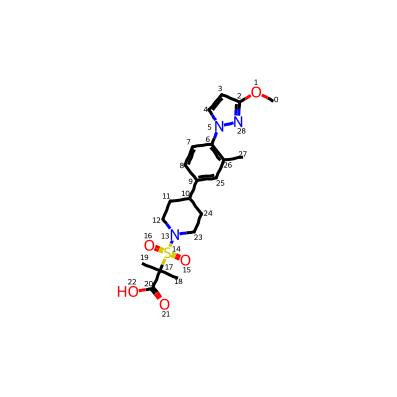 COc1ccn(-c2ccc(C3CCN(S(=O)(=O)C(C)(C)C(=O)O)CC3)cc2C)n1